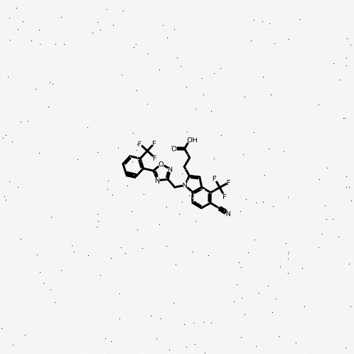 N#Cc1ccc2c(cc(CCC(=O)O)n2Cc2noc(-c3c#cccc3C(F)(F)F)n2)c1C(F)(F)F